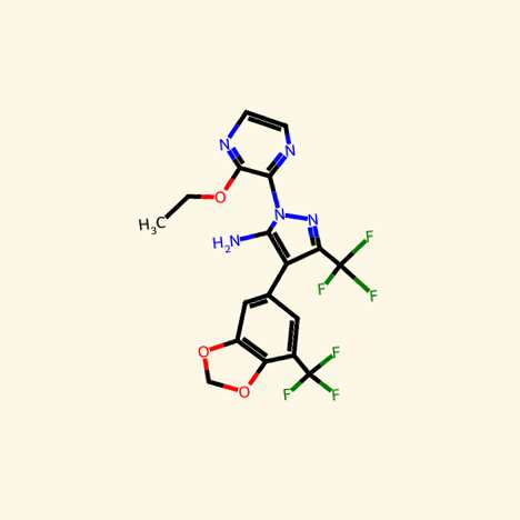 CCOc1nccnc1-n1nc(C(F)(F)F)c(-c2cc3c(c(C(F)(F)F)c2)OCO3)c1N